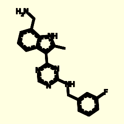 Cc1[nH]c2c(CN)cccc2c1-c1ncnc(NCc2cccc(F)c2)n1